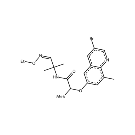 CCO/N=C\C(C)(C)NC(=O)C(Oc1cc(C)c2ncc(Br)cc2c1)SC